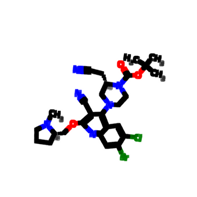 CN1CCC[C@H]1COc1nc2cc(Br)c(Cl)cc2c(N2CCN(C(=O)OC(C)(C)C)[C@@H](CC#N)C2)c1C#N